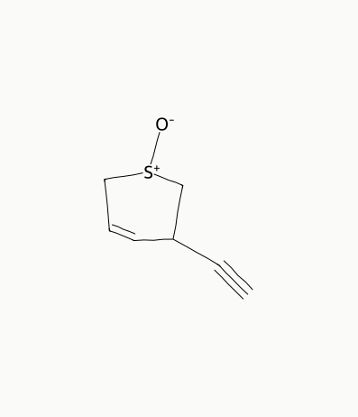 C#CC1C=CC[S+]([O-])C1